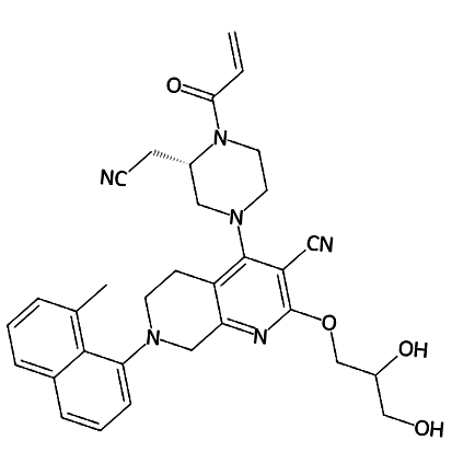 C=CC(=O)N1CCN(c2c(C#N)c(OCC(O)CO)nc3c2CCN(c2cccc4cccc(C)c24)C3)C[C@@H]1CC#N